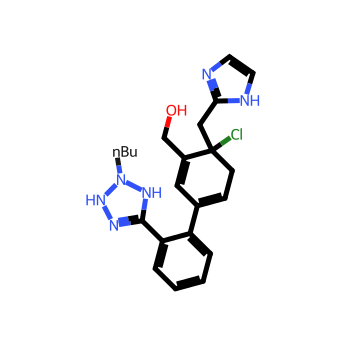 CCCCN1NN=C(c2ccccc2C2=CCC(Cl)(Cc3ncc[nH]3)C(CO)=C2)N1